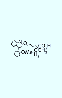 COc1ccccc1-c1cc(OCCCCC(C)(C)C(=O)O)nc2ccccc12